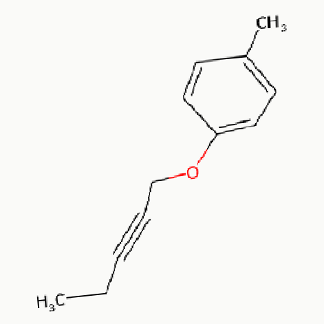 CCC#CCOc1ccc(C)cc1